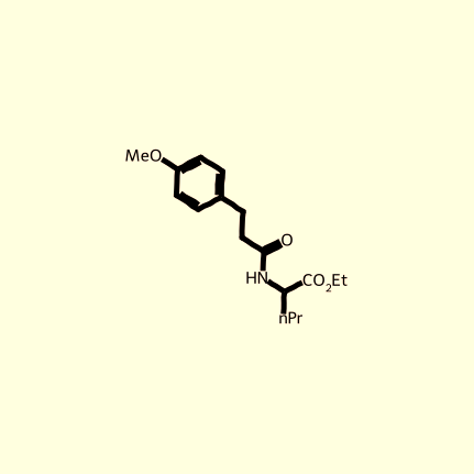 CCCC(NC(=O)CCc1ccc(OC)cc1)C(=O)OCC